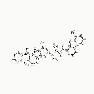 CCc1cc(-c2cccc(N(I)c3cccc4c3oc3c(CC)cccc34)c2C#N)cc2c1oc1c(N(I)c3ccccc3C(F)(F)F)cccc12